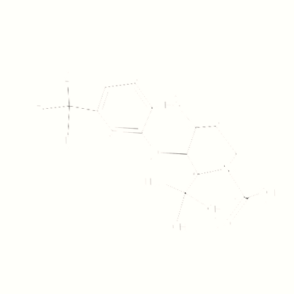 CC(C)(C)C1C(Oc2cccc(C(F)(F)F)c2)C(O)CCN1C(=O)O